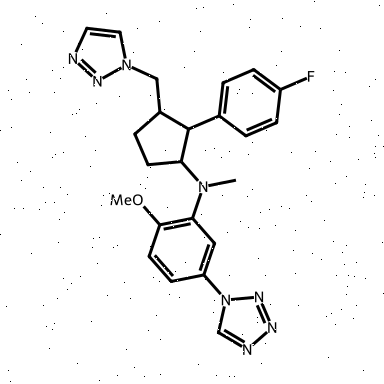 COc1ccc(-n2cnnn2)cc1N(C)C1CCC(Cn2ccnn2)C1c1ccc(F)cc1